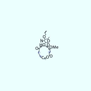 C=CCOC1C(C)OC(O[C@H]2CC[C@@H](C)C(=O)/C=C/C=C/C[C@@H](C)OC(=O)/C=C/[C@@H]2OC)C(O)C1N(C)C